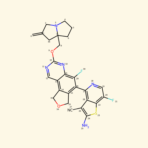 C=C1CN2CCCC2(COc2ncc3c4c(c(-c5ncc(F)c6sc(N)c(C#N)c56)c(F)c3n2)COC4)C1